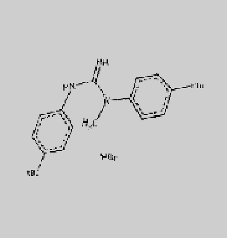 Br.CN(C(=N)Nc1ccc(C(C)(C)C)cc1)c1ccc(C(C)(C)C)cc1